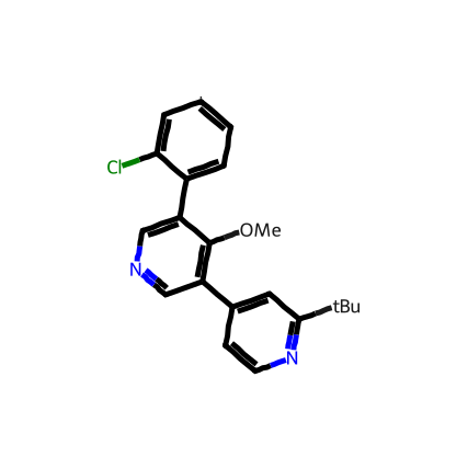 COc1c(-c2ccnc(C(C)(C)C)c2)cncc1-c1cc[c]cc1Cl